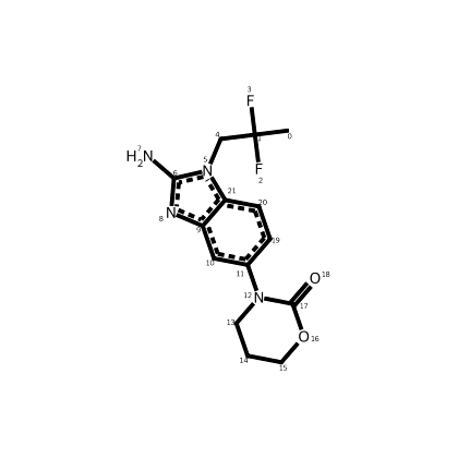 CC(F)(F)Cn1c(N)nc2cc(N3CCCOC3=O)ccc21